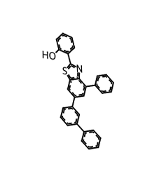 Oc1ccccc1-c1nc2c(-c3ccccc3)cc(-c3cccc(-c4ccccc4)c3)cc2s1